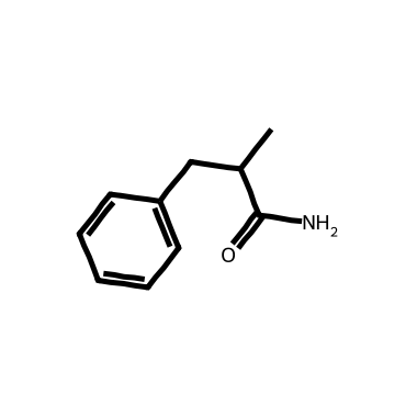 CC(Cc1ccccc1)C(N)=O